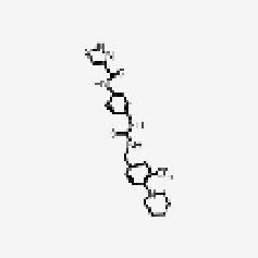 O=C(Nc1ccc(NC(=S)NCc2ccc(N3CCCCC3)c(C(F)(F)F)c2)cc1)c1csnn1